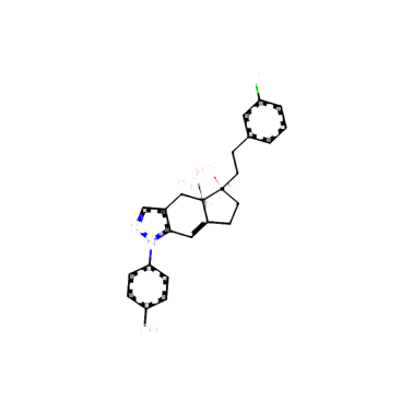 Cc1ccc(-n2ncc3c2C=C2CC[C@@](O)(CCc4cccc(Cl)c4)[C@@]2(C)C3)cc1